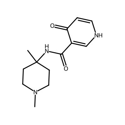 CN1CCC(C)(NC(=O)c2c[nH]ccc2=O)CC1